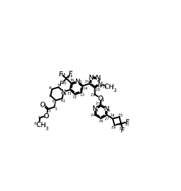 CCOC(=O)C[C@H]1CCCN(c2ccc(-c3nnn(C)c3COc3nccc(C4CC(F)(F)C4)n3)nc2C(F)(F)F)C1